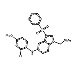 CNCc1cn(S(=O)(=O)c2cccnc2)c2cc(Nc3ccc(OC)cc3Cl)ccc12